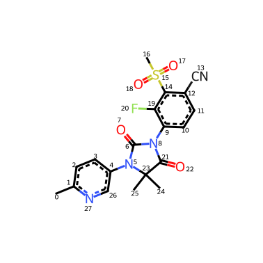 Cc1ccc(N2C(=O)N(c3ccc(C#N)c(S(C)(=O)=O)c3F)C(=O)C2(C)C)cn1